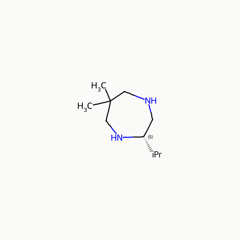 CC(C)[C@H]1CNCC(C)(C)CN1